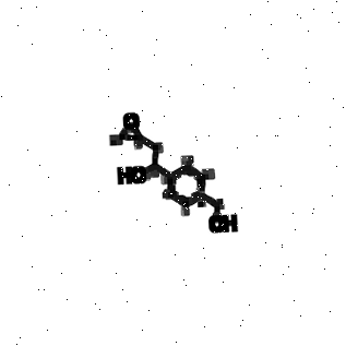 OCc1ccc(C(O)CC2CO2)cc1